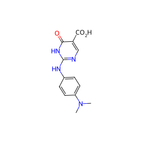 CN(C)c1ccc(Nc2ncc(C(=O)O)c(=O)[nH]2)cc1